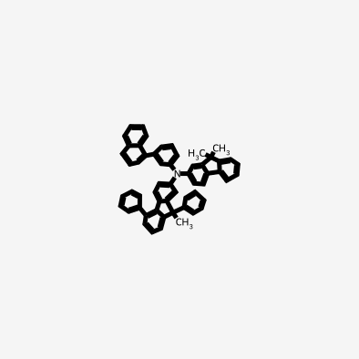 CC1(C)c2ccccc2-c2ccc(N(c3cccc(-c4cccc5ccccc45)c3)c3ccc4c(c3)C(C)(c3ccccc3)c3cccc(-c5ccccc5)c3-4)cc21